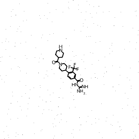 N=C(N)NC(=O)c1ccc(C2CCN(C(=O)C3CCNCC3)CC2)c(C(F)(F)F)c1